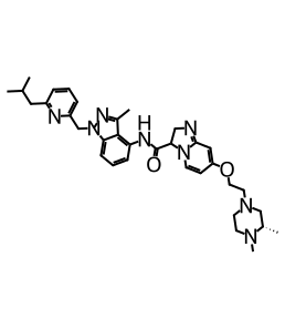 Cc1nn(Cc2cccc(CC(C)C)n2)c2cccc(NC(=O)C3CN=C4C=C(OCCN5CCN(C)[C@@H](C)C5)C=CN43)c12